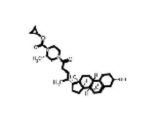 CC(CCC(=O)N1CCN(C(=O)OC2CC2)[C@@H](C)C1)[C@H]1CC[C@H]2[C@@H]3CC=C4C[C@@H](O)CC[C@]4(C)[C@H]3CC[C@]12C